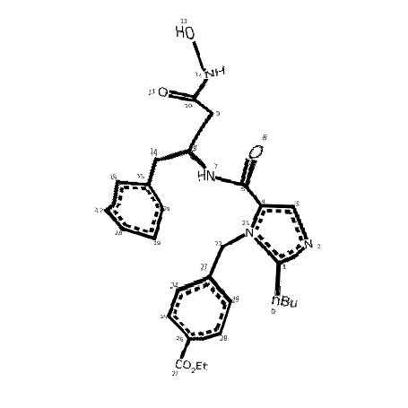 CCCCc1ncc(C(=O)NC(CC(=O)NO)Cc2ccccc2)n1Cc1ccc(C(=O)OCC)cc1